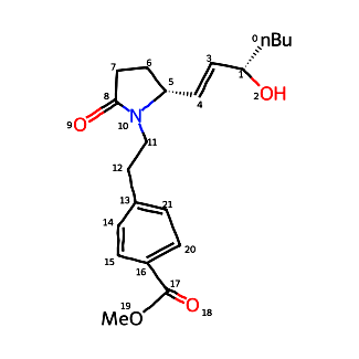 CCCC[C@H](O)C=C[C@H]1CCC(=O)N1CCc1ccc(C(=O)OC)cc1